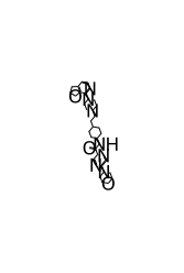 O=C(NC1CCC(CCN2CCN(c3nccc4c3OCC4)CC2)CC1)c1cnc(N2CCOCC2)cn1